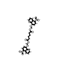 O=C(CCCCC(=O)OCOc1ccc([N+](=O)[O-])c2cccnc12)OCOc1ccc([N+](=O)[O-])c2cccnc12